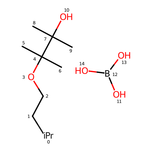 CC(C)CCOC(C)(C)C(C)(C)O.OB(O)O